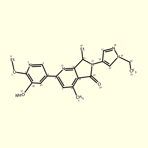 CCOc1ncc(-c2cc(C)c3c(n2)C(CC)N(c2cnn(CC(F)(F)F)c2)C3=O)cc1OC